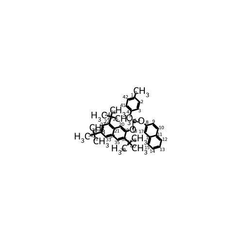 Cc1ccc(OP(Oc2ccc3ccccc3c2)Oc2cc3c(C(C)(C)C)cc(C(C)(C)C)cc3cc2C(C)(C)C)cc1